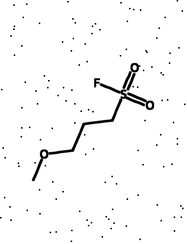 COCCCS(=O)(=O)F